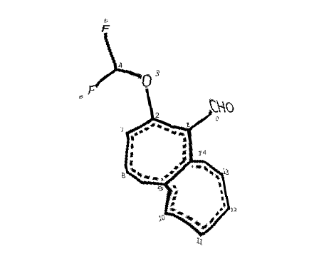 O=Cc1c(OC(F)F)ccc2ccccc12